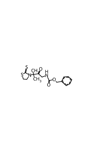 CC(C)(C(=O)CNC(=O)OCc1ccccc1)N1CCSC1=S